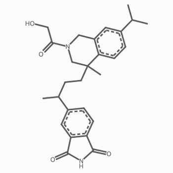 CC(C)c1ccc2c(c1)CN(C(=O)CO)CC2(C)CCC(C)c1ccc2c(c1)C(=O)NC2=O